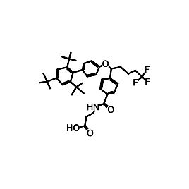 CC(C)(C)c1cc(C(C)(C)C)c(-c2ccc(OC(CCCC(F)(F)F)c3ccc(C(=O)NCCC(=O)O)cc3)cc2)c(C(C)(C)C)c1